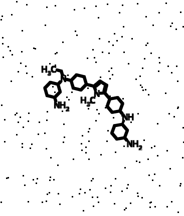 CCN(C1CCC(c2ccc(C3CCC(N[C@@H]4CCCC(N)C4)CC3)n2C)CC1)C1CCCC(N)C1